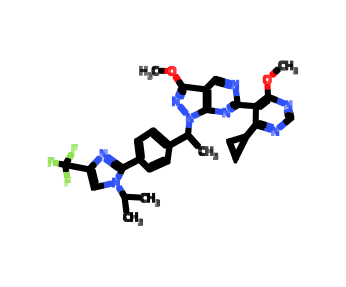 COc1ncnc(C2CC2)c1-c1ncc2c(OC)nn(C(C)c3ccc(-c4nc(C(F)(F)F)cn4C(C)C)cc3)c2n1